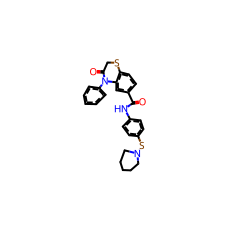 O=C(Nc1ccc(SN2CCCCC2)cc1)c1ccc2c(c1)N(c1ccccc1)C(=O)CS2